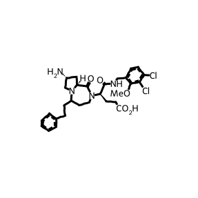 COc1c(CNC(=O)[C@@H](CCC(=O)O)N2CCC(CCc3ccccc3)N3C[C@H](N)C[C@H]3C2=O)ccc(Cl)c1Cl